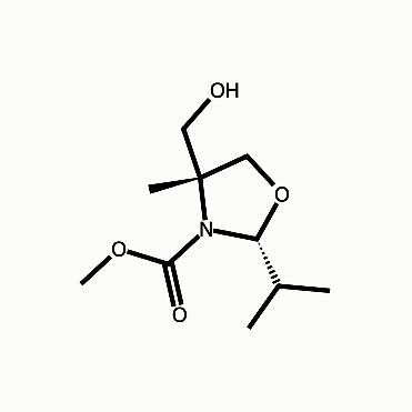 COC(=O)N1[C@@H](C(C)C)OC[C@@]1(C)CO